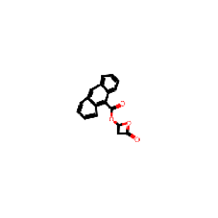 O=C1CC(OC(=O)c2c3ccccc3cc3ccccc23)O1